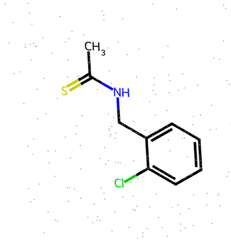 CC(=S)NCc1ccccc1Cl